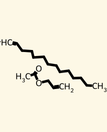 C=CCOC(C)=O.[CH]=CCCCCCCCCCCCC